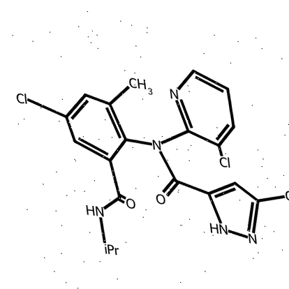 Cc1cc(Cl)cc(C(=O)NC(C)C)c1N(C(=O)c1cc(C(F)(F)F)n[nH]1)c1ncccc1Cl